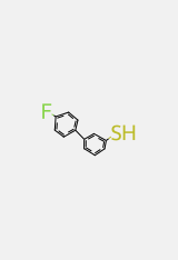 Fc1ccc(-c2cccc(S)c2)cc1